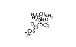 CCCC(CCCc1ccc(Sc2cccc(C(F)(F)F)c2)cc1Cl)(C(=O)O)N(C(=O)CC)C(=O)OC(C)(C)C